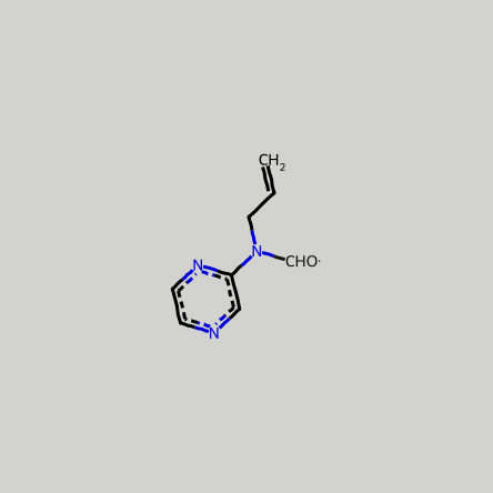 C=CCN([C]=O)c1cnccn1